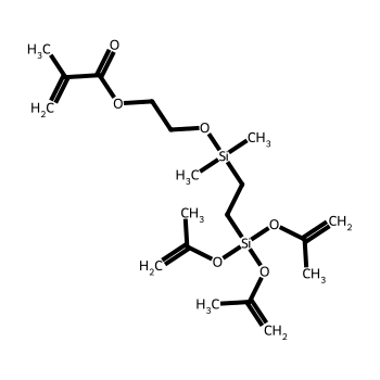 C=C(C)O[Si](CC[Si](C)(C)OCCOC(=O)C(=C)C)(OC(=C)C)OC(=C)C